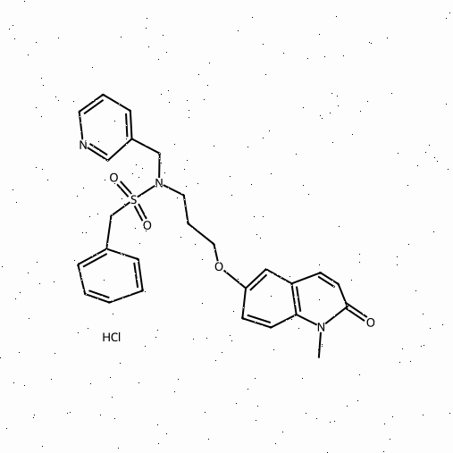 Cl.Cn1c(=O)ccc2cc(OCCCN(Cc3cccnc3)S(=O)(=O)Cc3ccccc3)ccc21